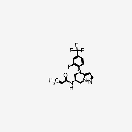 C=CC(=O)N[C@@H]1CN(c2ccc(C(F)(F)F)cc2F)c2ccnn2C1